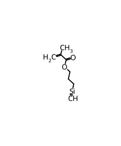 C#[Si]CCCOC(=O)C(=C)C